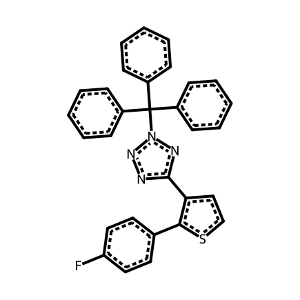 Fc1ccc(-c2sccc2-c2nnn(C(c3ccccc3)(c3ccccc3)c3ccccc3)n2)cc1